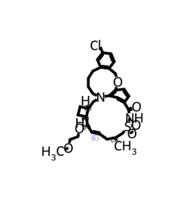 COCCO[C@H]1/C=C/C[C@H](C)CS(=O)(=O)NC(=O)c2ccc3c(c2)N(CCCCc2cc(Cl)ccc2CO3)C[C@@H]2CC[C@H]21